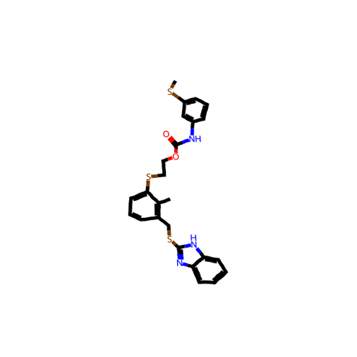 CSc1cccc(NC(=O)OCCSc2cccc(CSc3nc4ccccc4[nH]3)c2C)c1